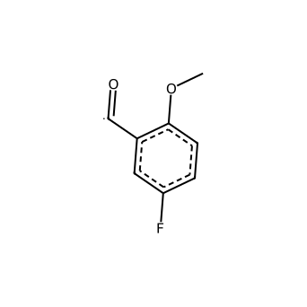 COc1ccc(F)cc1[C]=O